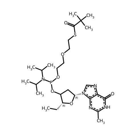 CC[C@H]1O[C@@H](n2cnc3c(=O)[nH]c(C)nc32)CC1OP(OCCOCCSC(=O)C(C)(C)C)N(C(C)C)C(C)C